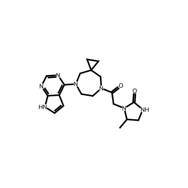 CC1CNC(=O)N1CC(=O)N1CCN(c2ncnc3[nH]ccc23)CC2(CC2)C1